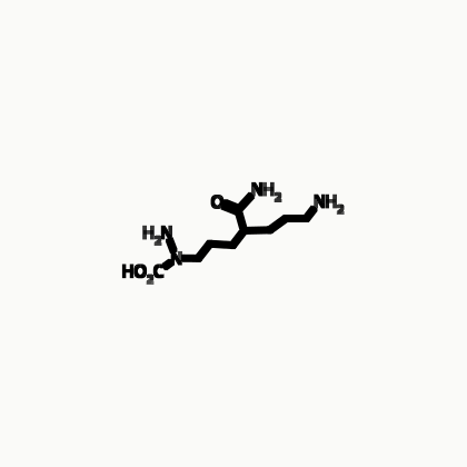 NCCCC(CCCN(N)C(=O)O)C(N)=O